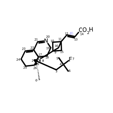 C[C@H]1C(CC(C)(C)F)N(C23CC(/C=C/C(=O)O)(C2)C3)C23CCN=CC2=CCCC13